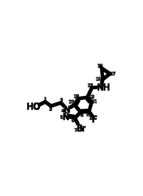 OCCCn1nc(Br)c2c(F)cc(CNC3CC3)cc21